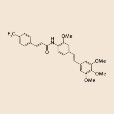 COc1cc(/C=C/c2cc(OC)c(OC)c(OC)c2)ccc1NC(=O)/C=C/c1ccc(C(F)(F)F)cc1